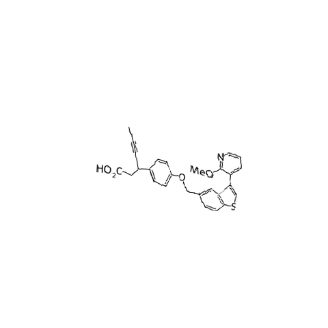 CC#CC(CC(=O)O)c1ccc(OCc2ccc3scc(-c4cccnc4OC)c3c2)cc1